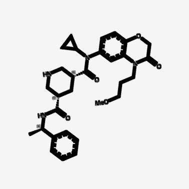 COCCCN1C(=O)COc2ccc(N(C(=O)[C@H]3CNC[C@@H](C(=O)N[C@H](C)c4ccccc4)C3)C3CC3)cc21